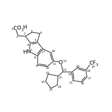 O=C(O)CC1CCc2c1[nH]c1ccc(OC(c3cccc(C(F)(F)F)c3)C3CCCC3)cc21